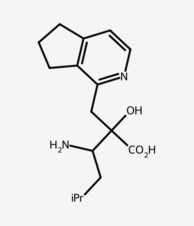 CC(C)CC(N)C(O)(Cc1nccc2c1CCC2)C(=O)O